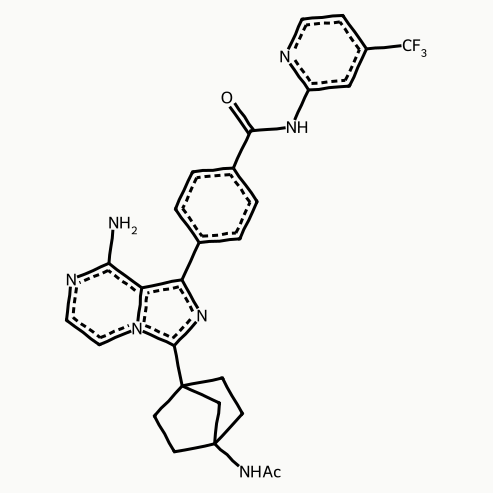 CC(=O)NC12CCC(c3nc(-c4ccc(C(=O)Nc5cc(C(F)(F)F)ccn5)cc4)c4c(N)nccn34)(CC1)C2